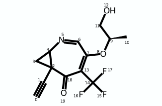 C#CC12CC1N=CC(O[C@H](C)CO)=C(C(F)(F)F)C2=O